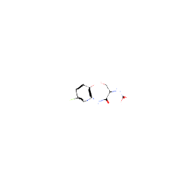 CC(C)(C)OC(=O)NC1COc2ccc(F)cc2NC1=O